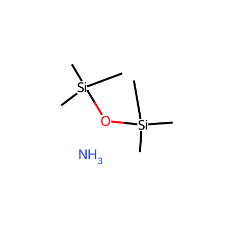 C[Si](C)(C)O[Si](C)(C)C.N